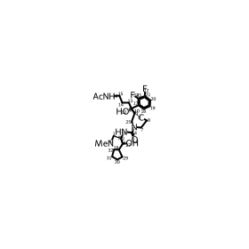 CNC[C@@H](NC(=O)N1CCC[C@@H]([C@@](O)(CCCNC(C)=O)c2cccc(F)c2F)C1)C(O)C1CCCC1